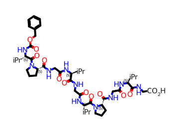 CC(C)[C@H](NC(=O)CNC(=O)[C@@H]1CCCN1C(=O)[C@@H](NC(=O)CNC(=O)[C@@H](NC(=O)CNC(=O)[C@@H]1CCCN1C(=O)[C@@H](NC(=O)OCc1ccccc1)C(C)C)C(C)C)C(C)C)C(=O)NCC(=O)O